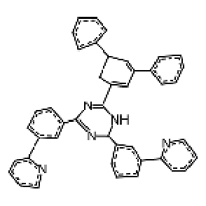 C1=C(C2=NC(c3cccc(-c4ccccn4)c3)=NC(c3cccc(-c4ccccn4)c3)N2)CC(c2ccccc2)C=C1c1ccccc1